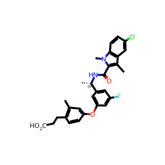 Cc1cc(Oc2cc(F)cc([C@H](C)NC(=O)c3c(C)c4cc(Cl)ccc4n3C)c2)ccc1CCC(=O)O